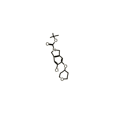 CC(C)(C)OC(=O)N1Cc2cc(Cl)c(OC3CCOCC3)cc2C1